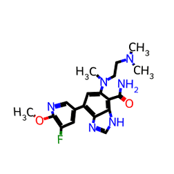 COc1ncc(-c2cc(N(C)CCN(C)C)c(C(N)=O)c3[nH]cnc23)cc1F